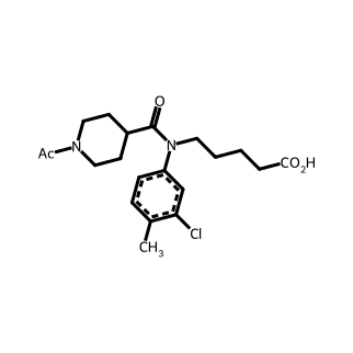 CC(=O)N1CCC(C(=O)N(CCCCC(=O)O)c2ccc(C)c(Cl)c2)CC1